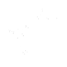 CC(C)N1CCN(CC2CCN(c3nc(-c4cnn(C)c4)cn4nccc34)CC2)C(=O)C1